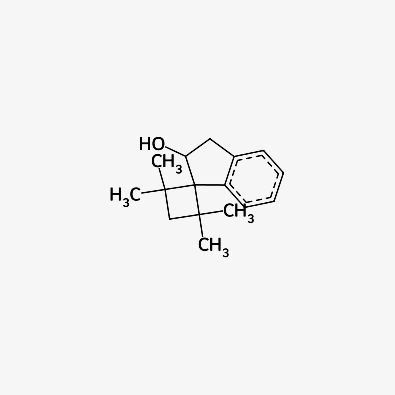 CC1(C)CC(C)(C)C12c1ccccc1CC2O